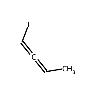 CC=C=CI